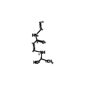 CC(O)N/C=C\C(=O)NC=S